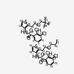 Cc1c(Cl)cccc1S(=O)(=O)Nc1ccsc1CCOCC(F)(F)F.Cc1c(Cl)cccc1S(=O)(=O)Nc1ccsc1CCOCCF